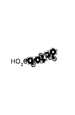 O=C1OC2(CCN(C(=O)C3(c4ccc(N5CCN(C(=O)O)CC5=O)cc4)CC3)C2)c2ccccc21